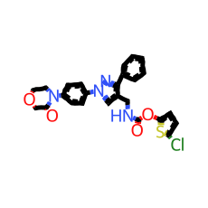 O=C(NCc1cn(-c2ccc(N3CCOCC3=O)cc2)nc1-c1ccccc1)Oc1ccc(Cl)s1